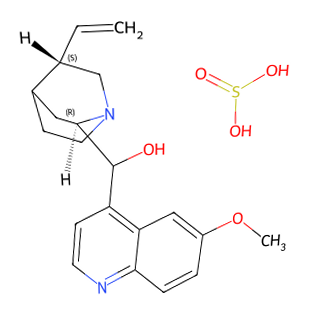 C=C[C@@H]1CN2CCC1C[C@@H]2C(O)c1ccnc2ccc(OC)cc12.O=S(O)O